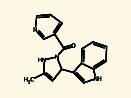 CC1=CC(c2c[nH]c3ccccc23)N(C(=O)c2cccnc2)N1